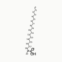 CCCCCCCCCCCCCCCCCCCC(C)C(=O)O